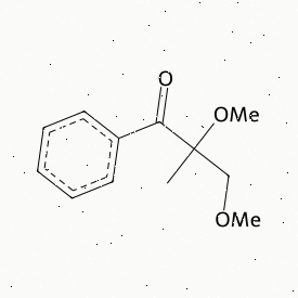 COCC(C)(OC)C(=O)c1ccccc1